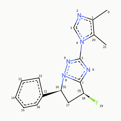 Cc1ncn(-c2nc3n(n2)[C@H](c2ccccc2)C[C@@H]3F)c1C